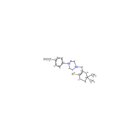 CCOC(=O)c1ccc(N2CCN(CC3=C(Br)CCC(C)(C)C3)CC2)cc1